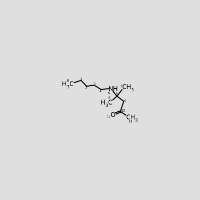 CCCCCNC(C)(C)CC(C)=O